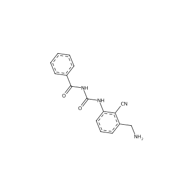 N#Cc1c(CN)cccc1NC(=O)NC(=O)c1ccccc1